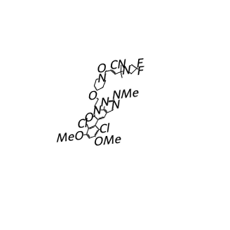 CNc1ncc2cc(-c3c(Cl)c(OC)cc(OC)c3Cl)c(=O)n(CCOC3CCN(C(=O)C(C#N)=CC(C)(C)N4CC(F)(F)C4)CC3)c2n1